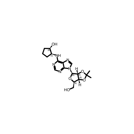 CC1(C)O[C@@H]2[C@H](O1)[C@@H](CO)O[C@H]2n1cnc2c(N[C@H]3CCC[C@H]3O)ncnc21